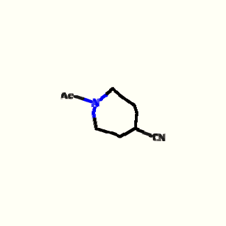 CC(=O)N1CCC(C#N)CC1